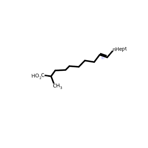 CCCCCCC/C=C/CCCCCCC(C)C(=O)O